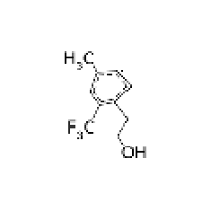 Cc1[c]cc(CCO)c(C(F)(F)F)c1